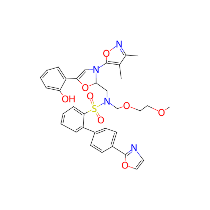 COCCOCN(CC1OC(c2ccccc2O)=CN1c1onc(C)c1C)S(=O)(=O)c1ccccc1-c1ccc(-c2ncco2)cc1